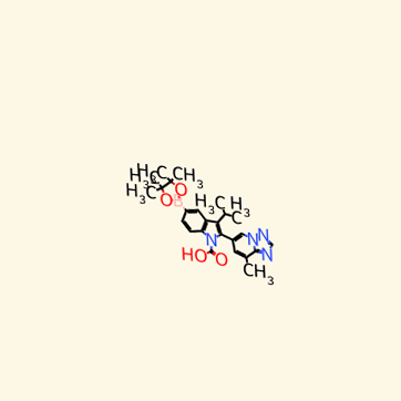 Cc1cc(-c2c(C(C)C)c3cc(B4OC(C)(C)C(C)(C)O4)ccc3n2C(=O)O)cn2ncnc12